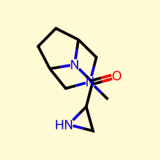 CN1CC2CCC(C1)N2C(=O)C1CN1